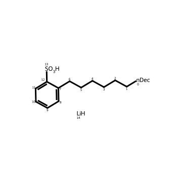 CCCCCCCCCCCCCCCCc1ccccc1S(=O)(=O)O.[LiH]